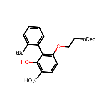 CCCCCCCCCCCCOc1ccc(C(=O)O)c(O)c1-c1ccccc1C(C)(C)C